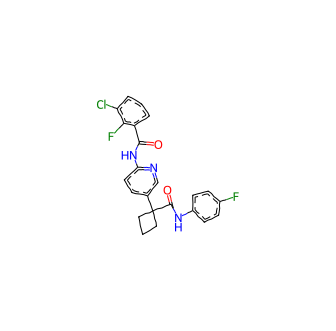 O=C(Nc1ccc(C2(C(=O)Nc3ccc(F)cc3)CCC2)cn1)c1cccc(Cl)c1F